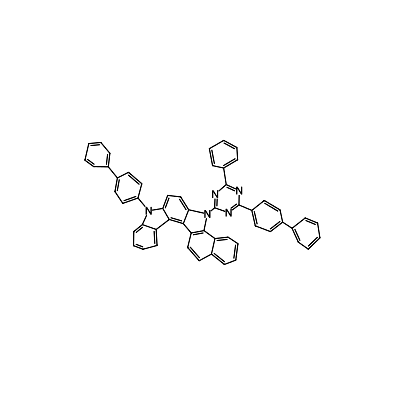 c1ccc(-c2ccc(-c3nc(-c4ccccc4)nc(-n4c5ccc6c(c7ccccc7n6-c6ccc(-c7ccccc7)cc6)c5c5ccc6ccccc6c54)n3)cc2)cc1